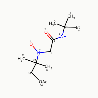 CCC(C)(C)NC(=O)CN([O])C(C)(C)COC(C)=O